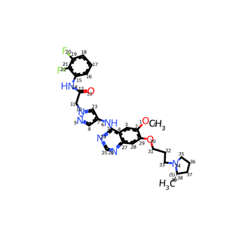 COc1cc2c(Nc3cnn(CC(=O)Nc4cccc(F)c4F)c3)ncnc2cc1OCCCN1CCC[C@@H]1C